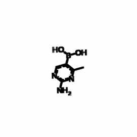 Cc1nc(N)ncc1B(O)O